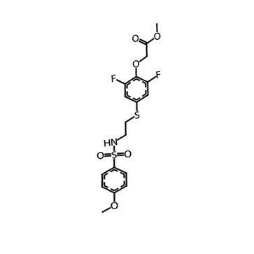 COC(=O)COc1c(F)cc(SCCNS(=O)(=O)c2ccc(OC)cc2)cc1F